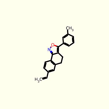 C=Cc1ccc2c(c1)CCc1c-2noc1-c1cccc(C)c1